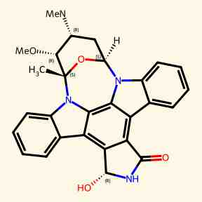 CN[C@@H]1C[C@@H]2O[C@@](C)([C@@H]1OC)n1c3ccccc3c3c4c(c5c6ccccc6n2c5c31)C(=O)N[C@@H]4O